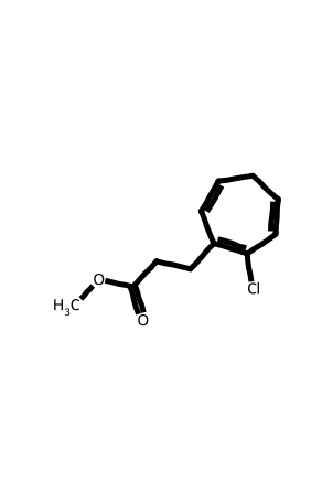 COC(=O)CCC1=C(Cl)C=CCC=C1